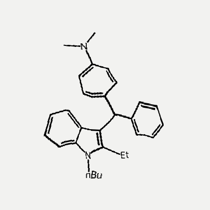 CCCCn1c(CC)c(C(c2ccccc2)c2ccc(N(C)C)cc2)c2ccccc21